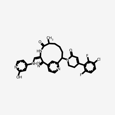 CC1CCCC(N2CCC(c3c(F)ccc(Cl)c3F)=CC2=O)c2cc(ccn2)C(=N)/C(=C\Nc2ccnc(O)c2)NC1=O